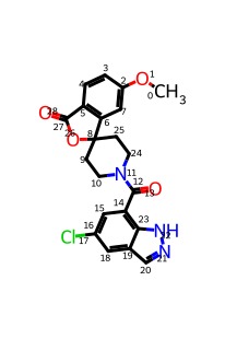 COc1ccc2c(c1)C1(CCN(C(=O)c3cc(Cl)cc4cn[nH]c34)CC1)OC2=O